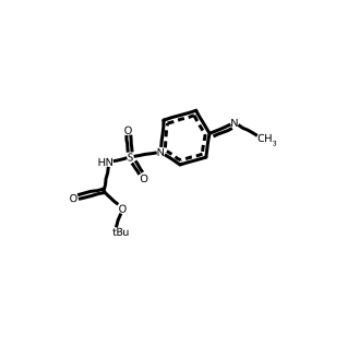 CN=c1ccn(S(=O)(=O)NC(=O)OC(C)(C)C)cc1